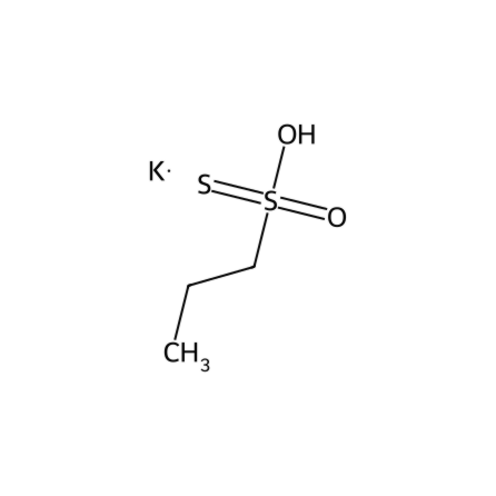 CCCS(=O)(O)=S.[K]